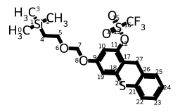 C[Si](C)(C)CCOCOc1cc(OS(=O)(=O)C(F)(F)F)c2c(c1)Sc1ccccc1C2